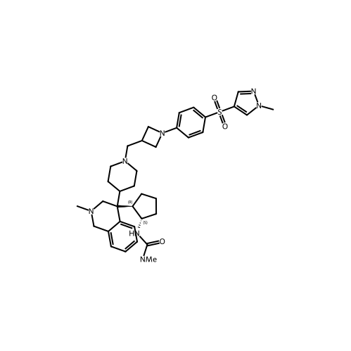 CNC(=O)N[C@H]1CCC[C@@H]1C1(C2CCN(CC3CN(c4ccc(S(=O)(=O)c5cnn(C)c5)cc4)C3)CC2)CN(C)Cc2ccccc21